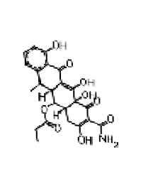 CCC(=O)O[C@H]1[C@H]2C(=C(O)[C@]3(O)C(=O)C(C(N)=O)=C(O)C[C@H]13)C(=O)c1c(O)cccc1[C@@H]2C